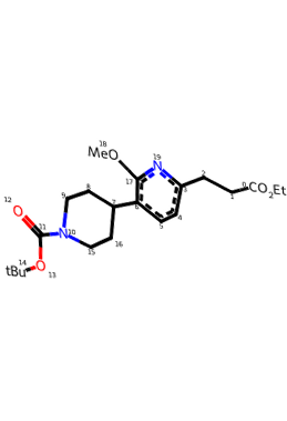 CCOC(=O)CCc1ccc(C2CCN(C(=O)OC(C)(C)C)CC2)c(OC)n1